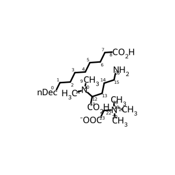 CCCCCCCCCCCCCCCCCC(=O)O.CN(C)C(CCCN)C(=O)O.C[N+](C)(C)CC(=O)[O-]